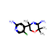 CC1(c2cc(N)ncc2F)COC(C)(C(F)(F)F)C(N)=N1